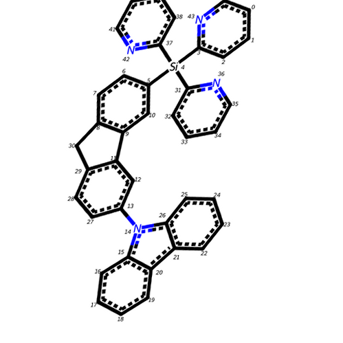 c1ccc([Si](c2ccc3c(c2)-c2cc(-n4c5ccccc5c5ccccc54)ccc2C3)(c2ccccn2)c2ccccn2)nc1